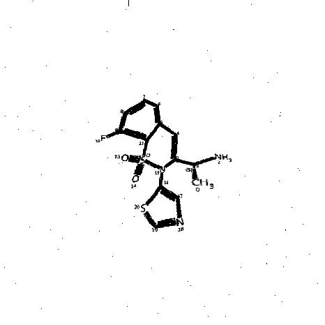 C[C@H](N)C1=Cc2cccc(F)c2S(=O)(=O)N1c1cncs1